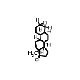 C[C@]12CC[C@@H]3[C@H]4CC[C@@H]5O[C@@H]5[C@H]4CC[C@H]3[C@@H]1CCC2=O